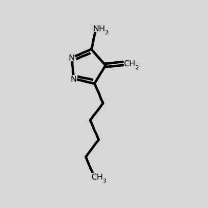 C=C1C(N)=NN=C1CCCCC